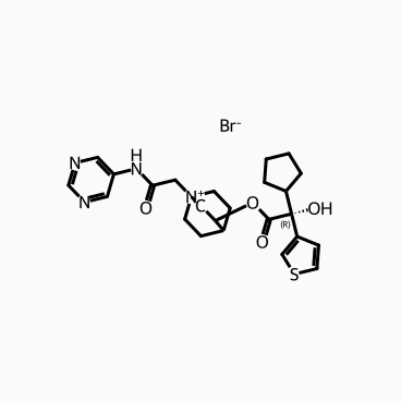 O=C(C[N+]12CCC(CC1)C(OC(=O)[C@](O)(c1ccsc1)C1CCCC1)C2)Nc1cncnc1.[Br-]